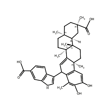 Cc1c(O)c(O)cc2c1C(c1c[nH]c3cc(C(=O)O)ccc13)C=C1[C@@]2(C)CC[C@@]2(C)[C@@H]3C[C@](C)(C(=O)O)CC[C@]3(C)CC[C@]12C